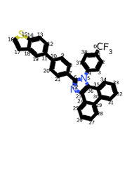 FC(F)(F)c1ccc(-n2c(-c3ccc(-c4ccc5sccc5c4)cc3)nc3c4ccccc4c4ccccc4c32)cc1